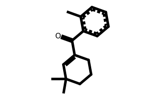 Cc1ccccc1C(=O)C1=CC(C)(C)CCC1